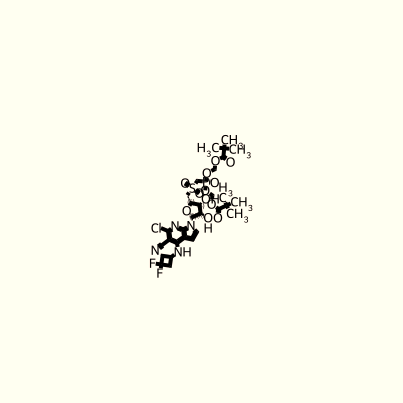 CC(C)(C)C(=O)OCOP(=O)(CS(=O)(=O)C[C@H]1O[C@@H](n2ccc3c(NC4CC(F)(F)C4)c(C#N)c(Cl)nc32)[C@H](O)[C@@H]1O)OCOC(=O)C(C)(C)C